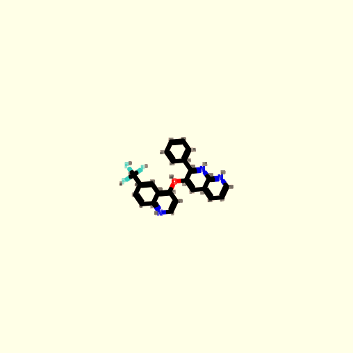 FC(F)(F)c1ccc2nccc(Oc3cc4cccnc4nc3-c3ccccc3)c2c1